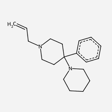 C=CCN1CCC(c2ccccc2)(N2CCCCC2)CC1